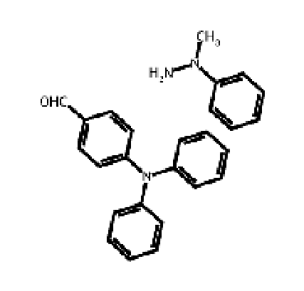 CN(N)c1ccccc1.O=Cc1ccc(N(c2ccccc2)c2ccccc2)cc1